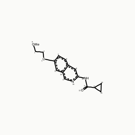 COCCOc1ccc2cc(NC(=O)C3CC3)ncc2c1